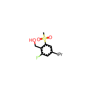 CC(C)c1cc(F)c(CO)c(S(C)(=O)=O)c1